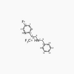 Fc1ccc([C@H](CNCc2ccccc2)C(F)(F)F)nc1